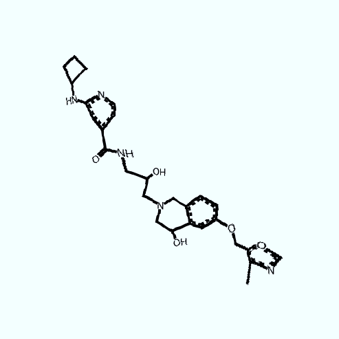 Cc1ncoc1COc1ccc2c(c1)C(O)CN(CC(O)CNC(=O)c1ccnc(NC3CCC3)c1)C2